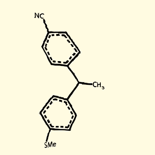 CSc1ccc(C(C)c2ccc(C#N)cc2)cc1